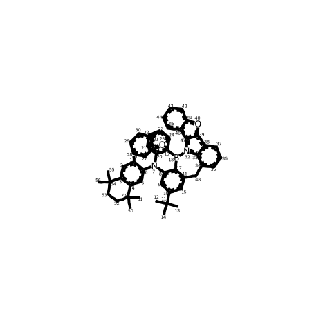 Cc1cc2c(cc1N1c3cc(C(C)(C)C)cc4c3B(c3c1ccc1c3oc3ccccc31)n1c3c(cccc3c3oc5ccccc5c31)C4)C(C)(C)CCC2(C)C